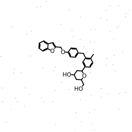 Cc1ccc(C2CC(O)CC(CO)O2)cc1Cc1ccc(OCc2cc3ccccc3o2)cc1